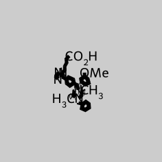 COc1cccc([C@@H](c2ccc(-c3ncnn3CCCCC(=O)O)cc2)N2C[C@@H](C)N(Cc3ccccc3)C[C@@H]2C)c1